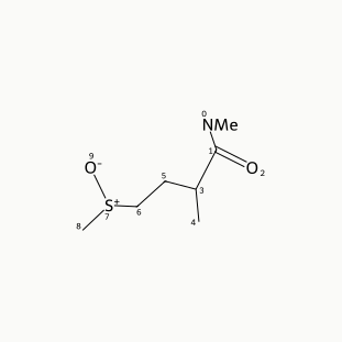 CNC(=O)C(C)CC[S+](C)[O-]